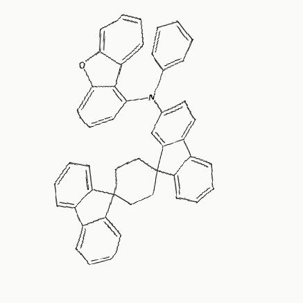 c1ccc(N(c2ccc3c(c2)C2(CCC4(CC2)c2ccccc2-c2ccccc24)c2ccccc2-3)c2cccc3oc4ccccc4c23)cc1